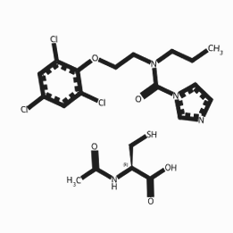 CC(=O)N[C@@H](CS)C(=O)O.CCCN(CCOc1c(Cl)cc(Cl)cc1Cl)C(=O)n1ccnc1